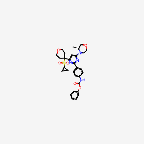 C[C@H]1COCCN1c1cc(C2(S(=O)(=O)C3CC3)CCOCC2)nc(-c2ccc(NC(=O)Oc3ccccc3)cc2)n1